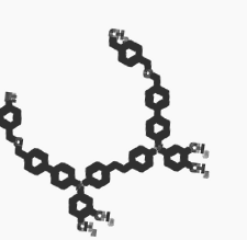 C=Cc1ccc(COCc2ccc(-c3ccc(N(c4ccc(CCc5ccc(N(c6ccc(-c7ccc(COCc8ccc(CC)cc8)cc7)cc6)c6ccc(C)c(C)c6)cc5)cc4)c4ccc(C)c(C)c4)cc3)cc2)cc1